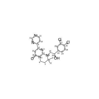 CC1(C)CCn2c(nc(-c3ccncn3)cc2=O)N1C[C@H](O)c1ccc(Cl)c(Cl)c1